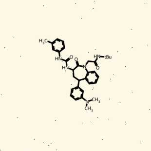 Cc1cccc(NC(=O)NC2CC(c3cccc(N(C)C)c3)c3ccccc3N(CC(=O)NC(C)(C)C)C2=O)c1